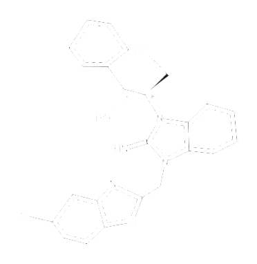 N=c1n(Cc2nc3cc(Cl)ccc3o2)c2ccccc2n1[C@H](CO)[C@H](O)c1ccccc1